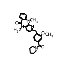 COc1cc(C(=O)N2CCCCC2)ccc1Cc1ccc2c(n1)N(C)c1ccccc1C(=O)N2C